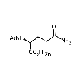 CC(=O)N[C@@H](CCC(N)=O)C(=O)O.[Zn]